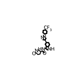 CN1CC(C(=O)Nc2c[nH]c3ccc(-c4cnn(-c5ccc(C(F)(F)F)cc5)c4)cc23)CCC1=O